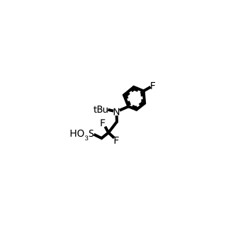 CC(C)(C)N(CC(F)(F)CS(=O)(=O)O)c1ccc(F)cc1